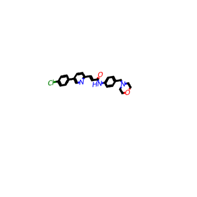 O=C(C=Cc1ccc(-c2ccc(Cl)cc2)cn1)Nc1ccc(CN2CCOCC2)cc1